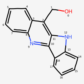 OCc1c2ccccc2nc2c1[nH]c1ccccc12